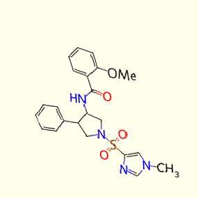 COc1ccccc1C(=O)NC1CN(S(=O)(=O)c2cn(C)cn2)CC1c1ccccc1